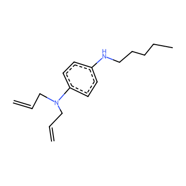 C=CCN(CC=C)c1ccc(NCCCCC)cc1